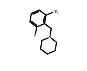 Fc1cccc(C(F)(F)F)c1CN1CCCCC1